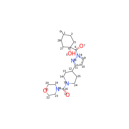 CC1CCC(O)(C(=O)n2ccc(C3CCN(C(=O)N4CCOCC4)CC3)n2)CC1